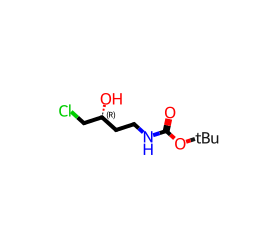 CC(C)(C)OC(=O)NCC[C@@H](O)CCl